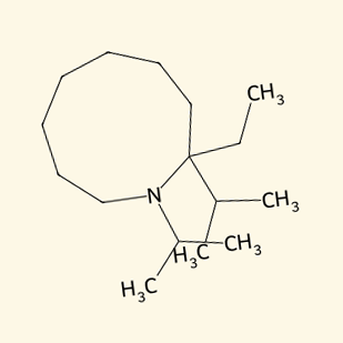 CCC1(C(C)C)CCCCCCCN1C(C)C